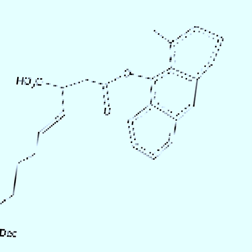 CCCCCCCCCCCCCCC=CC(CC(=O)Oc1c2ccccc2cc2cccc(C)c12)C(=O)O